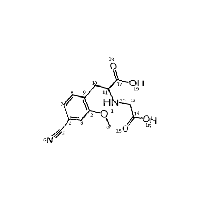 COc1cc(C#N)ccc1CC(NCC(=O)O)C(=O)O